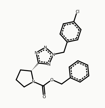 O=C(OCc1ccccc1)N1CCC[C@@H]1c1nnn(Cc2ccc(Cl)cc2)n1